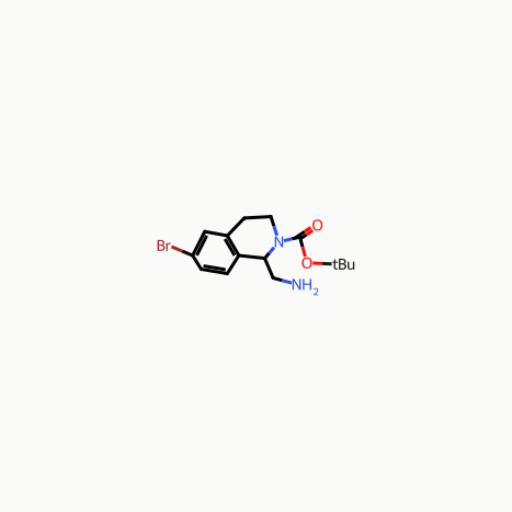 CC(C)(C)OC(=O)N1CCc2cc(Br)ccc2C1CN